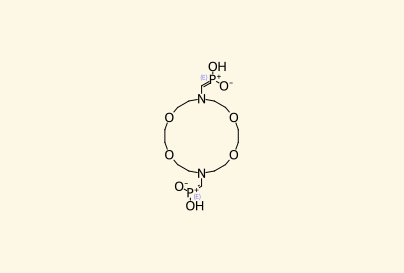 [O-]/[P+](O)=C\N1CCOCCOCCN(/C=[P+](\[O-])O)CCOCCOCC1